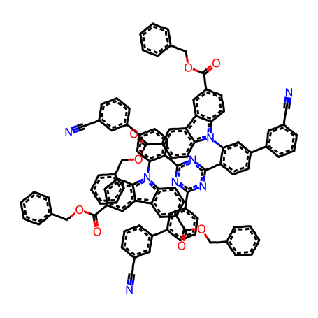 N#Cc1cccc(-c2cccc(-c3nc(-c4ccc(-c5cccc(C#N)c5)cc4-n4c5ccc(C(=O)OCc6ccccc6)cc5c5cc(C(=O)OCc6ccccc6)ccc54)nc(-c4ccc(-c5cccc(C#N)c5)cc4-n4c5ccc(C(=O)OCc6ccccc6)cc5c5cc(C(=O)OCc6ccccc6)ccc54)n3)c2)c1